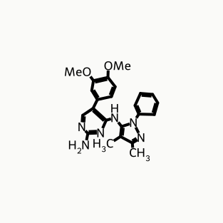 COc1ccc(-c2cnc(N)nc2Nc2c(C)c(C)nn2-c2ccccc2)cc1OC